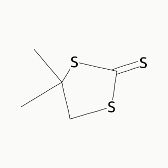 CC1(C)CSC(=S)S1